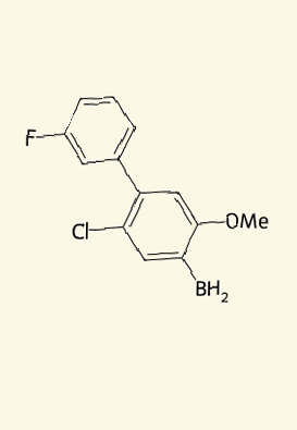 Bc1cc(Cl)c(-c2cccc(F)c2)cc1OC